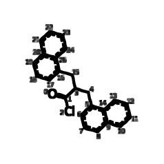 O=C(Cl)C(Cc1cccc2ccccc12)Cc1cccc2ccccc12